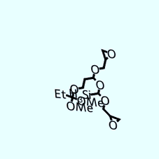 CCC(OC)(OC)OCCC(OCC1CO1)OC([SiH3])OCC1CO1